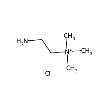 C[N+](C)(C)CCN.[Cl-]